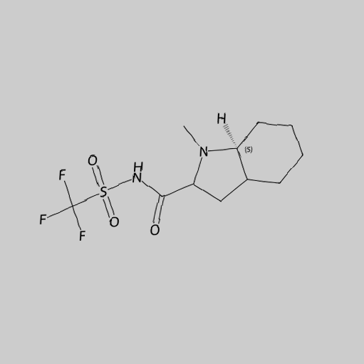 CN1C(C(=O)NS(=O)(=O)C(F)(F)F)CC2CCCC[C@@H]21